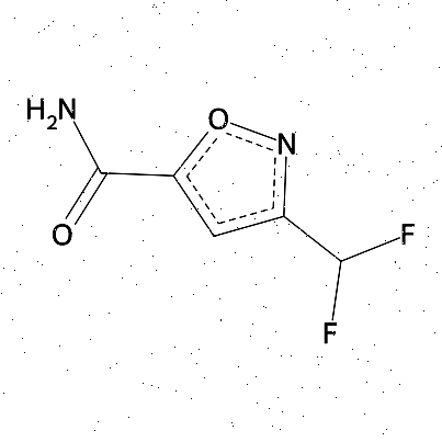 NC(=O)c1cc(C(F)F)no1